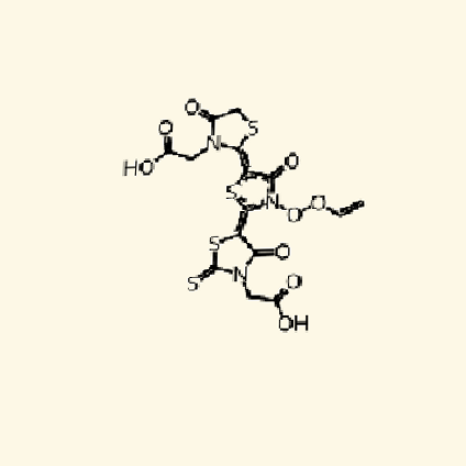 C=COOn1c(=O)/c(=C2\SCC(=O)N2CC(=O)O)s/c1=C1\SC(=S)N(CC(=O)O)C1=O